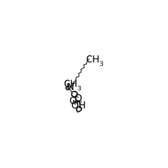 CCCCCCCCCCCCCn1c(C)ccc1-c1ccc(O[C@H](Cc2ccccc2)C(=O)O)cc1